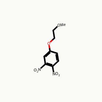 COCCOc1ccc([N+](=O)[O-])c([N+](=O)[O-])c1